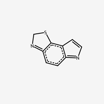 C1=Cc2c3c(ccc2=N1)=NCS3